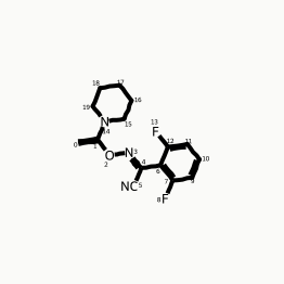 C=C(O/N=C(\C#N)c1c(F)cccc1F)N1CCCCC1